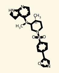 C[C@@H]1CCN(S(=O)(=O)c2ccc(-c3cnco3)cc2)CC1N(C)c1ccnc2[nH]ccc12